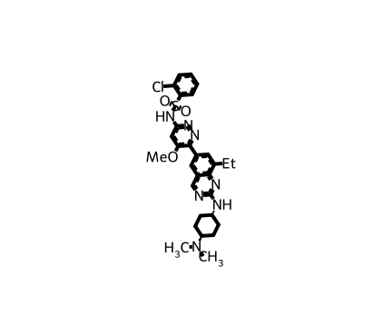 CCc1cc(-c2nnc(NS(=O)(=O)c3ccccc3Cl)cc2OC)cc2cnc(N[C@H]3CC[C@H](N(C)C)CC3)nc12